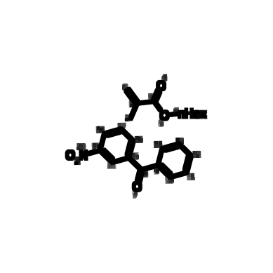 C=C(C)C(=O)OCCCCCC.O=C(c1ccccc1)c1cccc([N+](=O)[O-])c1